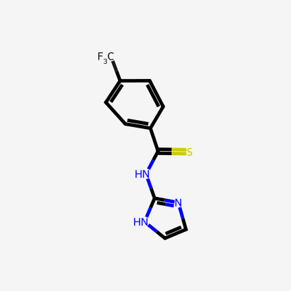 FC(F)(F)c1ccc(C(=S)Nc2ncc[nH]2)cc1